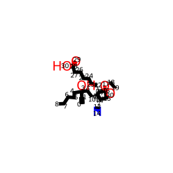 C#CC(O)(CCCCC)CC[C@@H]1[C@@H](C#N)CC2(OCCO2)[C@H]1CCCCCCC(=O)O